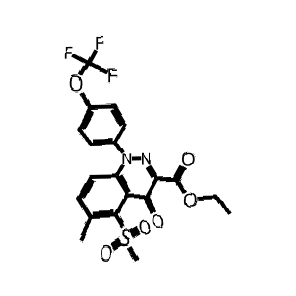 CCOC(=O)c1nn(-c2ccc(OC(F)(F)F)cc2)c2ccc(C)c(S(C)(=O)=O)c2c1=O